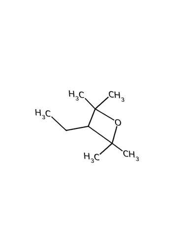 CCC1C(C)(C)OC1(C)C